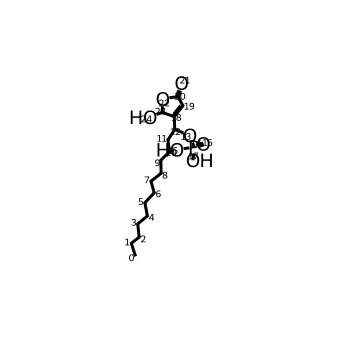 CCCCCCCCCCCCC(OP(=O)(O)O)C1=CC(=O)OC1O